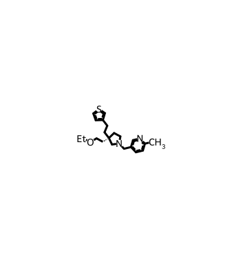 CCOCC[C@]1(CCc2ccsc2)CCN(Cc2ccc(C)nc2)C1